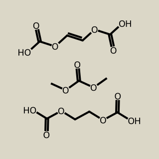 COC(=O)OC.O=C(O)O/C=C/OC(=O)O.O=C(O)OCCOC(=O)O